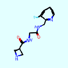 O=C(CNC(=O)C1CNC1)NCc1ncccc1F